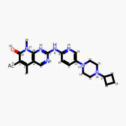 CC(=O)c1c(C)c2cnc(Nc3ccc(N4CCN(C5CCC5)CC4)cn3)nc2n(C)c1=O